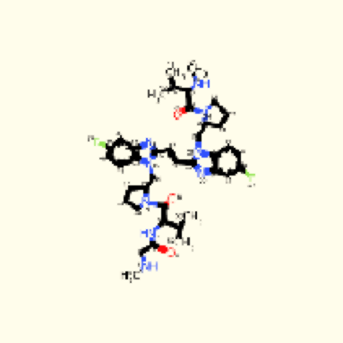 CNCC(=O)NC(C(=O)N1CCCC1Cn1c(/C=C/c2nc3cc(F)ccc3n2CC2CCCN2C(=O)C(NC)C(C)C)nc2cc(F)ccc21)C(C)C